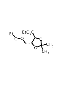 CCOOC[C@H]1OC(C)(C)O[C@@H]1C(=O)OCC